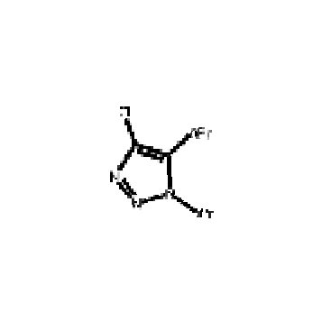 CCCc1c(Cl)nnn1C(C)C